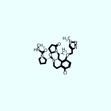 CNC(=O)N1CCC[C@H]1C(=O)N1CCc2c(Cl)ccc(OCc3cn(C)nn3)c2[C@H]1[C@@H](C)N1CCCC1=O